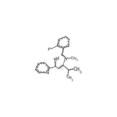 CC(C)/C(=C/C(=N)c1ccccn1)N(C)Cc1ccccc1F